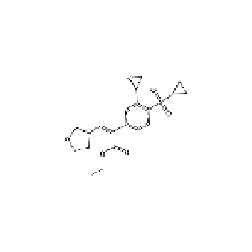 CCOC(=O)C(=CC1CCOC1)c1ccc(S(=O)(=O)C2CC2)c(C2CC2)c1